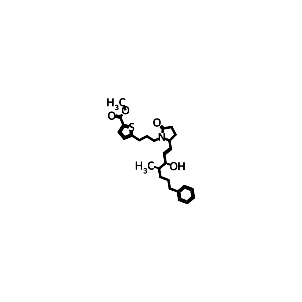 COC(=O)c1ccc(CCCN2C(=O)CCC2C=C[C@@H](O)[C@H](C)CCCc2ccccc2)s1